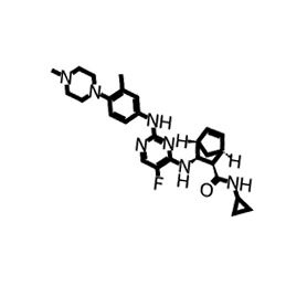 Cc1cc(Nc2ncc(F)c(N[C@@H]3[C@H](C(=O)NC4CC4)[C@@H]4C=C[C@@H]3C4)n2)ccc1N1CCN(C)CC1